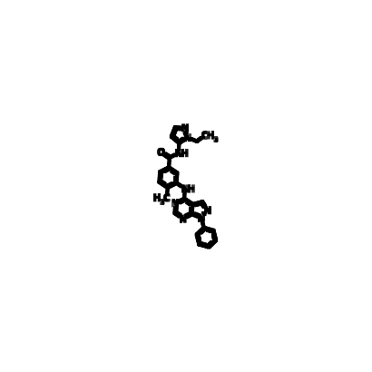 CCn1nccc1NC(=O)c1ccc(C)c(Nc2ncnc3c2cnn3-c2ccccc2)c1